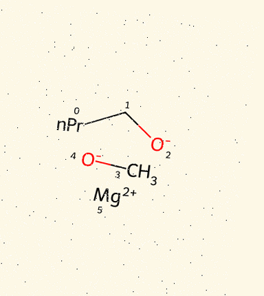 CCCC[O-].C[O-].[Mg+2]